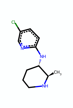 C[C@H]1NCCC[C@@H]1Nc1ccc(Cl)cn1